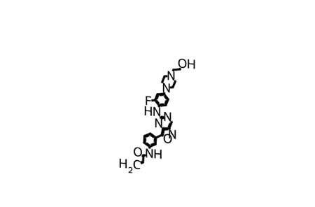 C=CC(=O)Nc1cccc(-c2onc3cnc(Nc4ccc(N5CCN(CCO)CC5)cc4F)nc23)c1